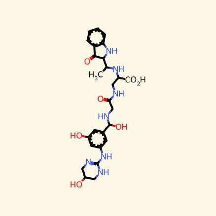 CC(NC(CNC(=O)CNC(O)c1cc(O)cc(NC2=NCC(O)CN2)c1)C(=O)O)C1Nc2ccccc2C1=O